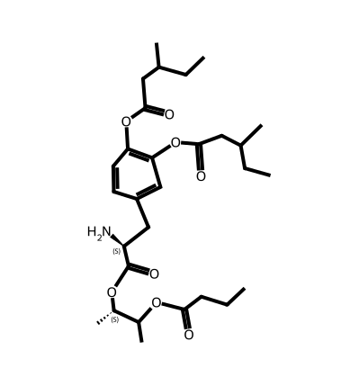 CCCC(=O)OC(C)[C@H](C)OC(=O)[C@@H](N)Cc1ccc(OC(=O)CC(C)CC)c(OC(=O)CC(C)CC)c1